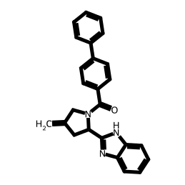 C=C1CC(c2nc3ccccc3[nH]2)N(C(=O)c2ccc(-c3ccccc3)cc2)C1